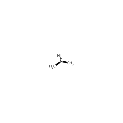 CNC.[Ni]